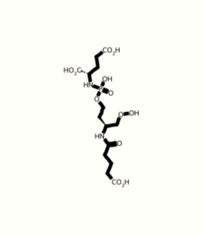 O=C(O)CCCC(=O)N[C@@H](CCOP(=O)(O)N[C@@H](CCC(=O)O)C(=O)O)COO